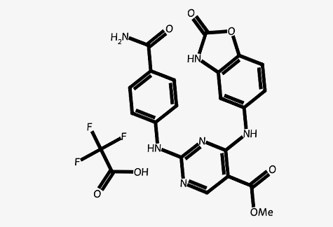 COC(=O)c1cnc(Nc2ccc(C(N)=O)cc2)nc1Nc1ccc2oc(=O)[nH]c2c1.O=C(O)C(F)(F)F